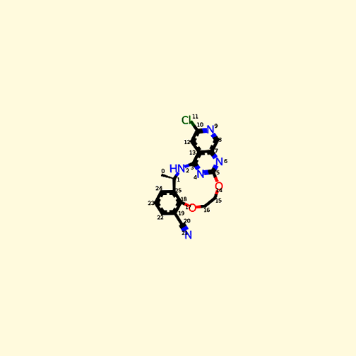 C[C@H]1Nc2nc(nc3cnc(Cl)cc23)OCCOc2c(C#N)cccc21